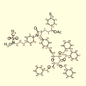 CC(=O)O[C@@H](CCC1C(=O)N(c2ccc(CCCN(C)S(C)(=O)=O)cc2)[C@@H]1c1ccc(C#CC2O[C@H](COCc3ccccc3)[C@@H](OCc3ccccc3)[C@H](OCc3ccccc3)[C@H]2OCc2ccccc2)cc1)c1ccc(F)cc1